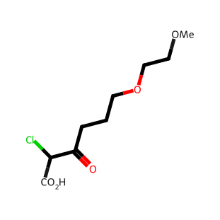 COCCOCCCC(=O)C(Cl)C(=O)O